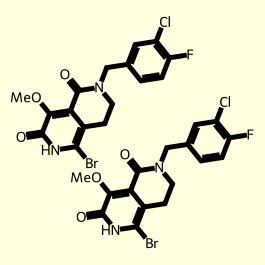 COc1c2c(c(Br)[nH]c1=O)CCN(Cc1ccc(F)c(Cl)c1)C2=O.COc1c2c(c(Br)[nH]c1=O)CCN(Cc1ccc(F)c(Cl)c1)C2=O